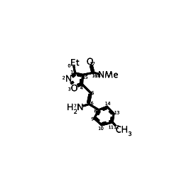 CCc1noc(C=C(N)c2ccc(C)cc2)c1C(=O)NC